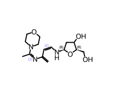 C=C(/C=C\N[C@H]1CC(O)[C@@H](CO)O1)/N=C(/C)N1CCOCC1